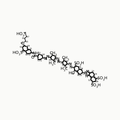 Cc1cc(N=Nc2cc(C)c(N=Nc3c(S(=O)(=O)O)cc4cc(-n5nc6ccc7c(S(=O)(=O)O)cc(S(=O)(=O)O)cc7c6n5)ccc4c3O)cc2C)c(C)cc1N=Nc1ccc(C(=O)Nc2ccc3c(S(=O)(=O)O)cc(OCCCS(=O)(=O)O)cc3c2)cc1